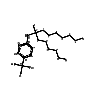 CCCCCCCC(C)(CCCCCC)Nc1ccc(C(F)(F)F)nn1